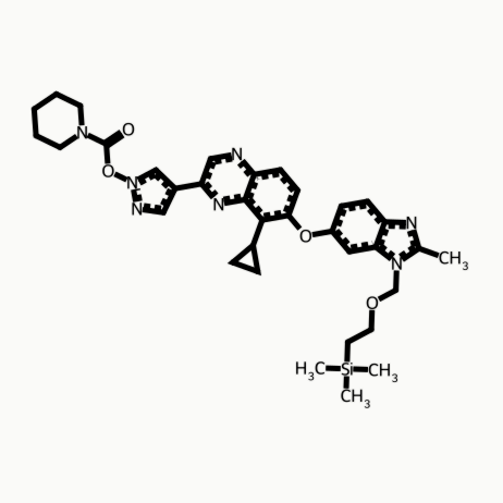 Cc1nc2ccc(Oc3ccc4ncc(-c5cnn(OC(=O)N6CCCCC6)c5)nc4c3C3CC3)cc2n1COCC[Si](C)(C)C